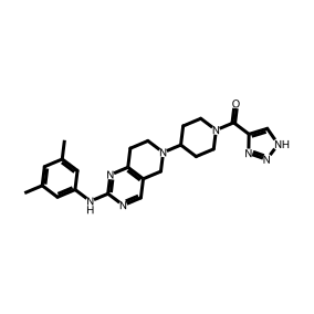 Cc1cc(C)cc(Nc2ncc3c(n2)CCN(C2CCN(C(=O)c4c[nH]nn4)CC2)C3)c1